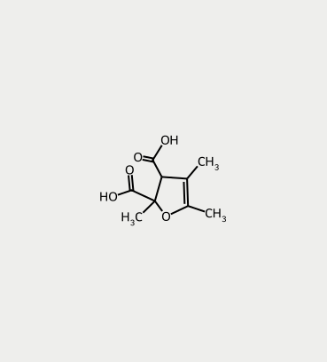 CC1=C(C)C(C(=O)O)C(C)(C(=O)O)O1